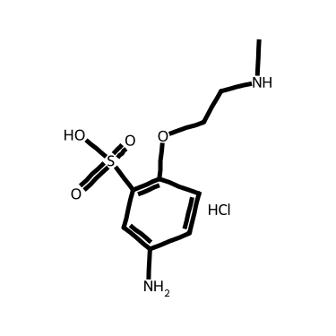 CNCCOc1ccc(N)cc1S(=O)(=O)O.Cl